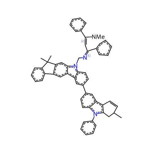 CN/C(=C\C(=N/Cn1c2ccc(-c3ccc4c(c3)c3c(n4-c4ccccc4)CC(C)C=C3)cc2c2cc3c(cc21)C(C)(C)c1ccccc1-3)c1ccccc1)c1ccccc1